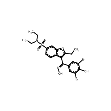 CCc1oc2cc(S(=O)(=O)N(CC)CC)ccc2c1C(=NO)c1cc(Br)c(O)c(Br)c1